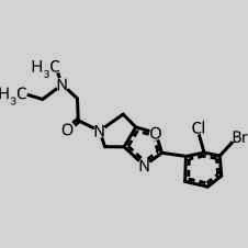 CCN(C)CC(=O)N1Cc2nc(-c3cccc(Br)c3Cl)oc2C1